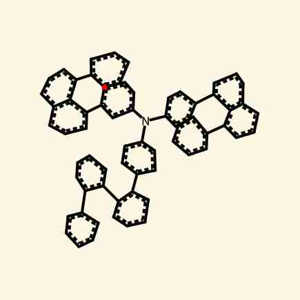 c1ccc(-c2ccccc2-c2ccccc2-c2ccc(N(c3ccc(-c4cccc5cccc(-c6ccccc6)c45)cc3)c3cccc(-c4cccc5cccc(-c6ccccc6)c45)c3)cc2)cc1